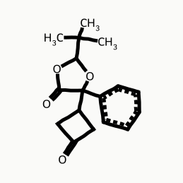 CC(C)(C)C1OC(=O)C(c2ccccc2)(C2CC(=O)C2)O1